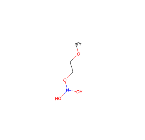 CCCOCCON(O)O